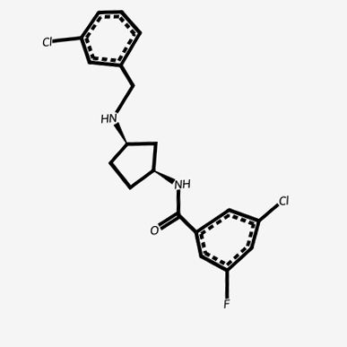 O=C(N[C@H]1CC[C@@H](NCc2cccc(Cl)c2)C1)c1cc(F)cc(Cl)c1